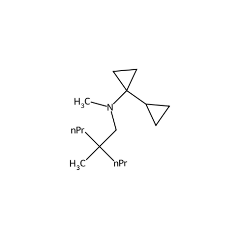 CCCC(C)(CCC)CN(C)C1(C2CC2)CC1